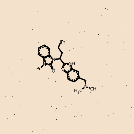 CC(C)CCC(c1nc2ccc(CN(C)C)cc2[nH]1)n1c(=O)n(C(C)C)c2ccccc21